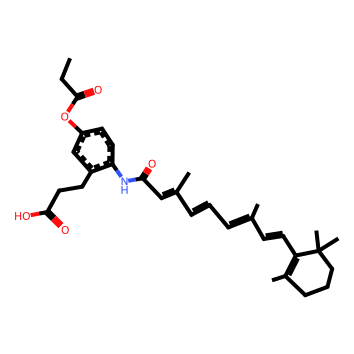 CCC(=O)Oc1ccc(NC(=O)/C=C(C)/C=C/C=C(C)/C=C/C2=C(C)CCCC2(C)C)c(CCC(=O)O)c1